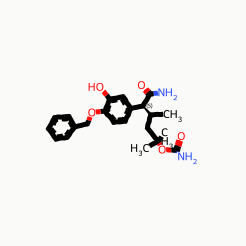 CC(CC(C)(C)OC(N)=O)[C@H](C(N)=O)c1ccc(OCc2ccccc2)c(O)c1